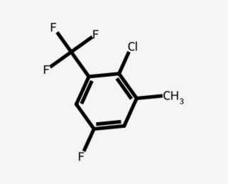 Cc1cc(F)cc(C(F)(F)F)c1Cl